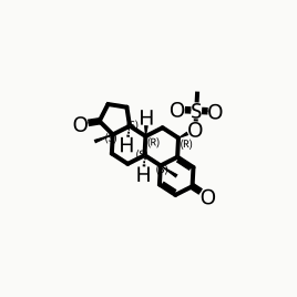 C[C@]12C=CC(=O)C=C1[C@H](OS(C)(=O)=O)C[C@@H]1[C@@H]2CC[C@]2(C)C(=O)CC[C@@H]12